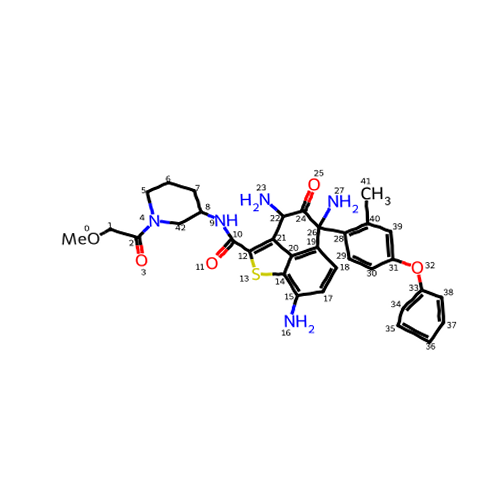 COCC(=O)N1CCCC(NC(=O)c2sc3c(N)ccc4c3c2C(N)C(=O)C4(N)c2ccc(Oc3ccccc3)cc2C)C1